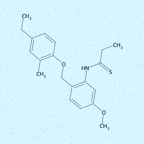 CCC(=S)Nc1cc(OC)ccc1COc1ccc(CC)cc1C